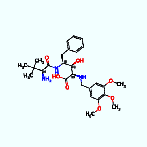 COc1cc(CN[C@@H](C(=O)O)[C@H](O)[C@H](Cc2ccccc2)NC(=O)[C@@H](N)C(C)(C)C)cc(OC)c1OC